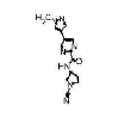 Cn1cc(-c2cnc(C(=O)N[C@@H]3CCN(C#N)C3)nc2)cn1